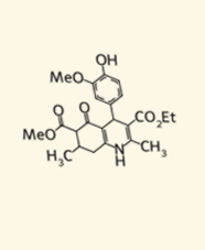 CCOC(=O)C1=C(C)NC2=C(C(=O)C(C(=O)OC)C(C)C2)C1c1ccc(O)c(OC)c1